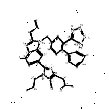 CCCc1nc2c(C)cc(-c3nc(CC(C)C)c(C)n3CCC)cc2n1Cc1ccc(-c2ccccc2)c(-c2nnn[nH]2)c1